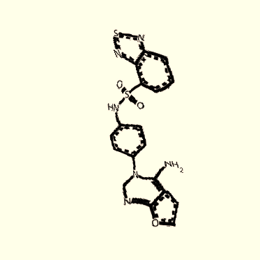 NC1=c2ccoc2=NCN1c1ccc(NS(=O)(=O)c2cccc3nsnc23)cc1